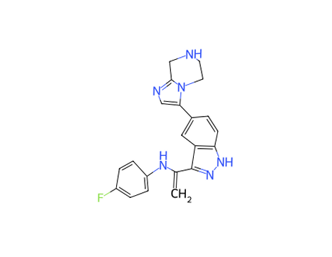 C=C(Nc1ccc(F)cc1)c1n[nH]c2ccc(-c3cnc4n3CCNC4)cc12